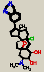 CN(C)[C@H]1C[C@@]23CC[C@]4(O2)C2CC=C(c5ccc6cncnc6c5)[C@@]2(C)CCC4(Cl)C=C3[C@@H](O)[C@@H]1O